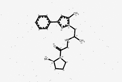 Cc1cc(-c2ccccc2)nn1CC(C)NCC(=O)N1CCC[C@H]1C#N